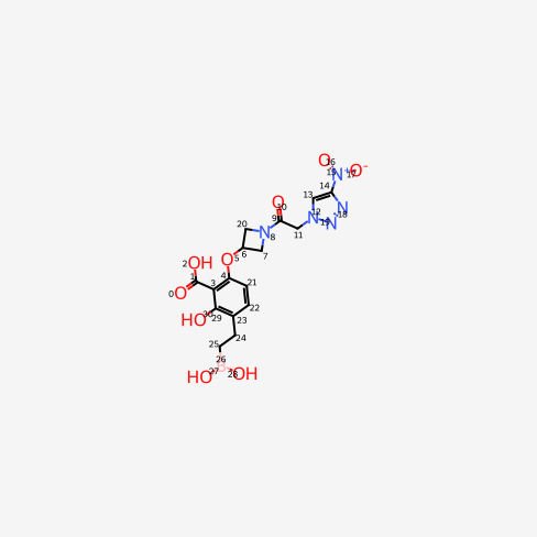 O=C(O)c1c(OC2CN(C(=O)Cn3cc([N+](=O)[O-])nn3)C2)ccc(CCB(O)O)c1O